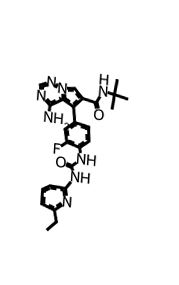 CCc1cccc(NC(=O)Nc2ccc(-c3c(C(=O)NC(C)(C)C)cn4ncnc(N)c34)cc2F)n1